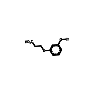 CCOc1cccc(OCCC(=O)O)c1